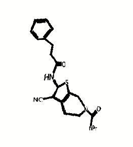 CCCC(=O)N1CCC2=C(C1)SC(NC(=O)CCc1ccccc1)C2C#N